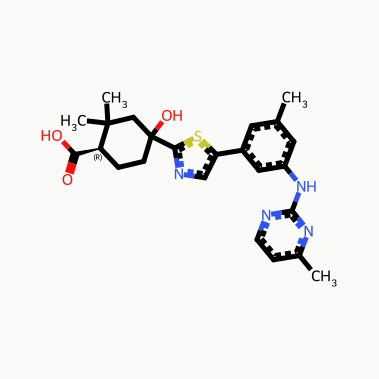 Cc1cc(Nc2nccc(C)n2)cc(-c2cnc(C3(O)CC[C@@H](C(=O)O)C(C)(C)C3)s2)c1